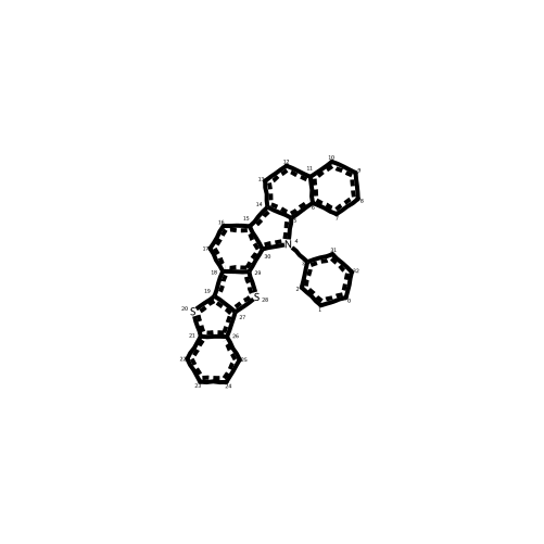 c1ccc(-n2c3c4ccccc4ccc3c3ccc4c5sc6ccccc6c5sc4c32)cc1